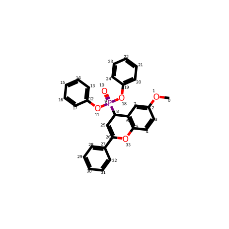 COc1ccc2c(c1)C(P(=O)(Oc1ccccc1)Oc1ccccc1)C=C(c1ccccc1)O2